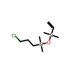 C=C[Si](C)(C)O[Si](C)(C)CCCCl